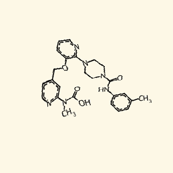 Cc1cccc(NC(=O)N2CCN(c3ncccc3OCc3ccnc(N(C)C(=O)O)c3)CC2)c1